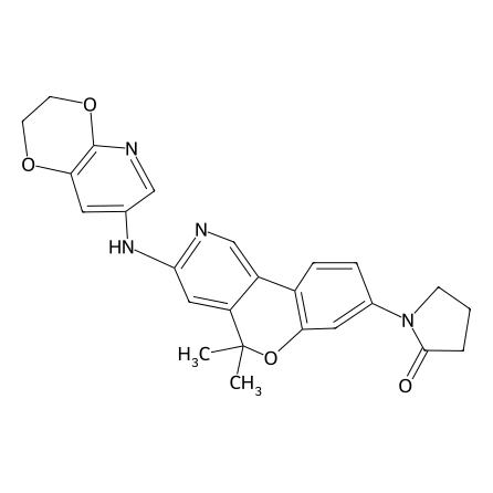 CC1(C)Oc2cc(N3CCCC3=O)ccc2-c2cnc(Nc3cnc4c(c3)OCCO4)cc21